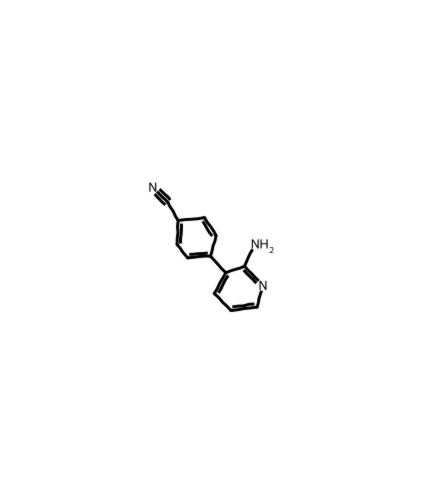 N#Cc1ccc(-c2cccnc2N)cc1